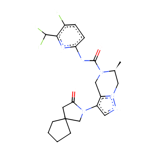 C[C@H]1Cn2ncc(N3CC4(CCCC4)CC3=O)c2CN1C(=O)Nc1ccc(F)c(C(F)F)n1